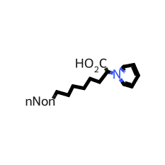 CCCCCCCCCCCCCCCC(C(=O)O)[n+]1ccccc1